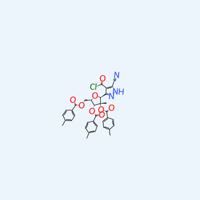 Cc1ccc(C(=O)OC[C@H]2O[C@@H](c3n[nH]c(C#N)c3C(=O)Cl)[C@](C)(OC(=O)c3ccc(C)cc3)[C@@H]2OC(=O)c2ccc(C)cc2)cc1